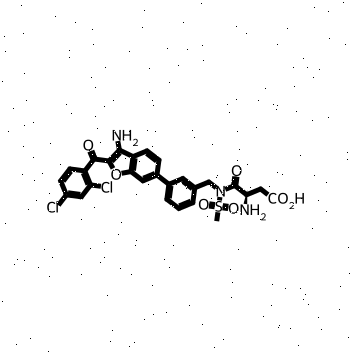 CS(=O)(=O)N(Cc1cccc(-c2ccc3c(N)c(C(=O)c4ccc(Cl)cc4Cl)oc3c2)c1)C(=O)[C@H](N)CC(=O)O